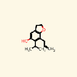 C=CCc1c2c(cc(O)c1C(C)C)CCO2